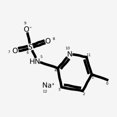 Cc1ccc(NS(=O)(=O)[O-])nc1.[Na+]